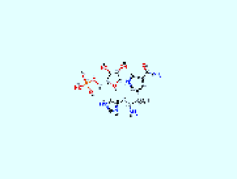 NC(=O)c1ccc[n+]([C@@H]2O[C@H](COP(=O)([O-])O)[C@@H](O)[C@H]2O)c1.NC(Cc1c[nH]cn1)C(=O)O